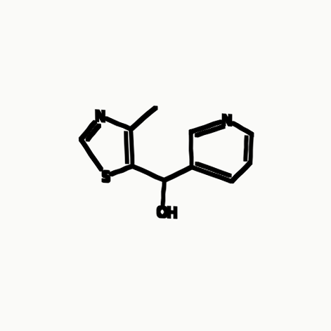 Cc1ncsc1C(O)c1cccnc1